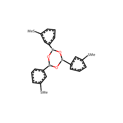 CSc1cccc(B2OB(c3cccc(SC)c3)OB(c3cccc(SC)c3)O2)c1